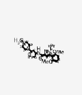 COc1cccc(OC)c1-c1cc(C(=O)NC(CC(=O)N2CCN(C)CC2)CC(C)C)nn1CC(C)C